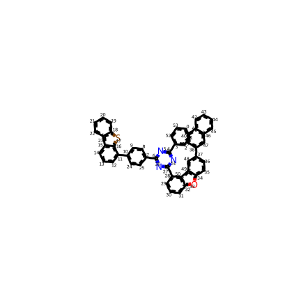 c1ccc(-c2nc(-c3ccc(-c4cccc5c4sc4ccccc45)cc3)nc(-c3cccc4oc5ccc(-c6ccc7ccccc7c6)cc5c34)n2)cc1